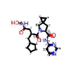 O=C(CC(CC1CCCC1)C(=O)N1CC2(CC2)CC1C(=O)Nc1ccncn1)NO